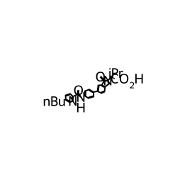 CCCCc1ccc(C(=O)Nc2ccc(-c3ccc4c(c3)C(=O)N([C@H](C(=O)O)C(C)C)C4)cc2)nc1